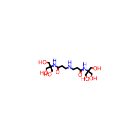 O=C(CCNCCC(=O)NC(CO)(CO)CO)NC(CO)(CO)CO